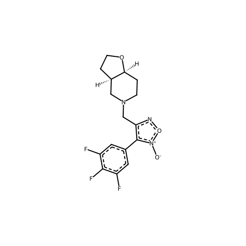 [O-][n+]1onc(CN2CC[C@@H]3OCC[C@@H]3C2)c1-c1cc(F)c(F)c(F)c1